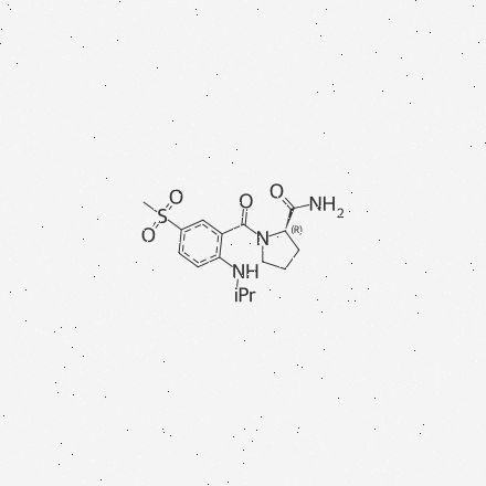 CC(C)Nc1ccc(S(C)(=O)=O)cc1C(=O)N1CCC[C@@H]1C(N)=O